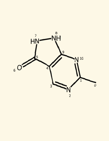 Cc1ncc2c(=O)[nH][nH]c2n1